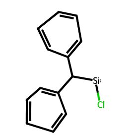 Cl[Si]C(c1ccccc1)c1ccccc1